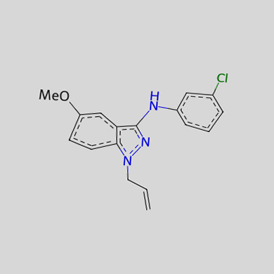 C=CCn1nc(Nc2cccc(Cl)c2)c2cc(OC)ccc21